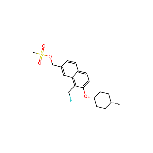 CS(=O)(=O)OCc1ccc2ccc(O[C@H]3CC[C@@H](C)CC3)c(CF)c2c1